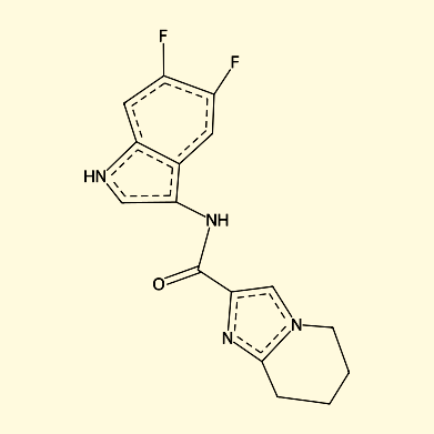 O=C(Nc1c[nH]c2cc(F)c(F)cc12)c1cn2c(n1)CCCC2